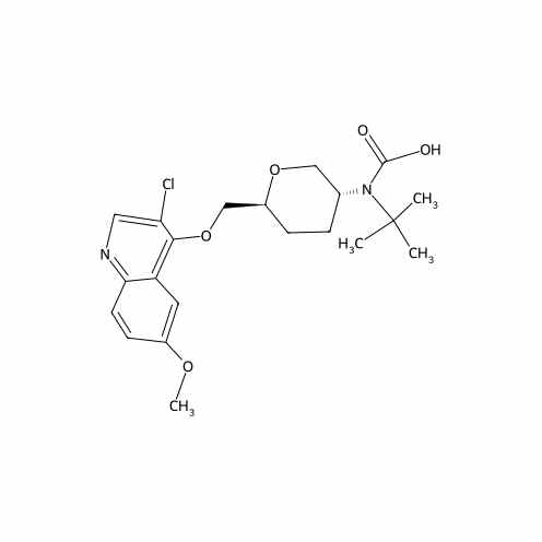 COc1ccc2ncc(Cl)c(OC[C@@H]3CC[C@@H](N(C(=O)O)C(C)(C)C)CO3)c2c1